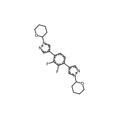 Fc1c(-c2cnn(C3CCCCO3)c2)ccc(-c2cnn(C3CCCCO3)c2)c1F